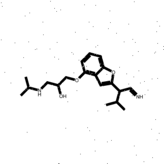 CC(C)NCC(O)COc1cccc2oc(C(C=N)C(C)C)cc12